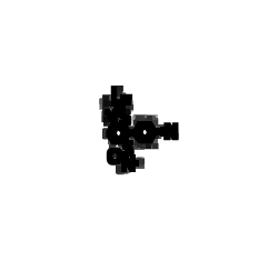 CN(C)C(=O)Sc1ccc2nc(C(F)(F)F)sc2c1-c1ccc(C#N)cc1